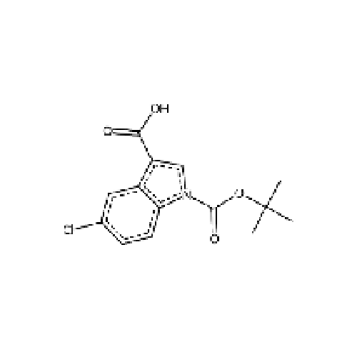 CC(C)(C)OC(=O)n1cc(C(=O)O)c2cc(Cl)ccc21